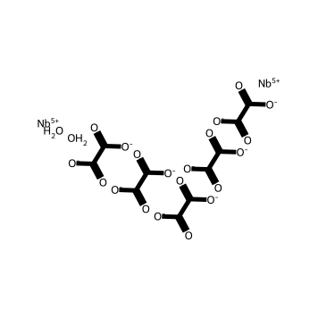 O.O.O=C([O-])C(=O)[O-].O=C([O-])C(=O)[O-].O=C([O-])C(=O)[O-].O=C([O-])C(=O)[O-].O=C([O-])C(=O)[O-].[Nb+5].[Nb+5]